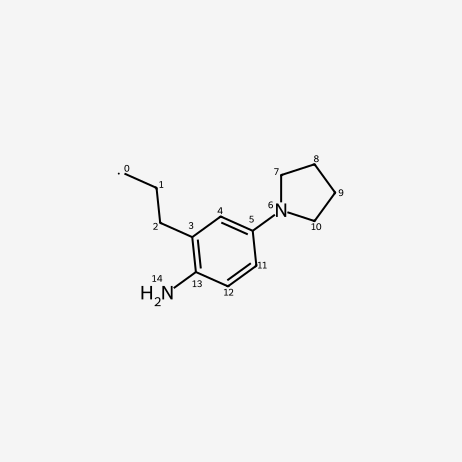 [CH2]CCc1cc(N2CCCC2)ccc1N